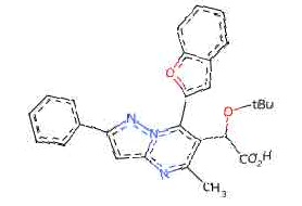 Cc1nc2cc(-c3ccccc3)nn2c(-c2cc3ccccc3o2)c1C(OC(C)(C)C)C(=O)O